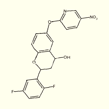 O=[N+]([O-])c1ccc(Oc2ccc3c(c2)C(O)CC(c2cc(F)ccc2F)O3)nc1